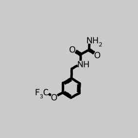 NC(=O)C(=O)NCc1cccc(OC(F)(F)F)c1